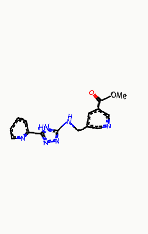 COC(=O)c1cncc(CNc2nnc(-c3ccccn3)[nH]2)c1